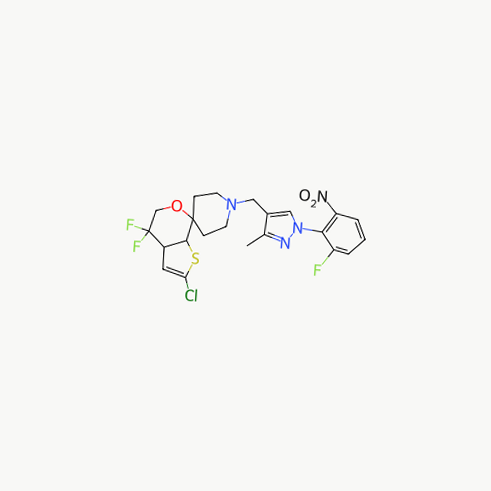 Cc1nn(-c2c(F)cccc2[N+](=O)[O-])cc1CN1CCC2(CC1)OCC(F)(F)C1C=C(Cl)SC12